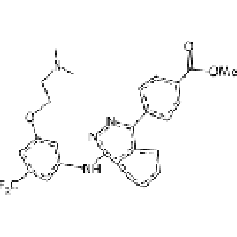 COC(=O)c1ccc(-c2nnc(Nc3cc(OCCN(C)C)cc(C(F)(F)F)c3)c3ccccc23)cc1